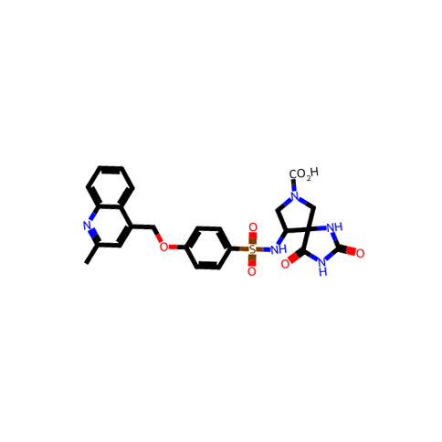 Cc1cc(COc2ccc(S(=O)(=O)NC3CN(C(=O)O)CC34NC(=O)NC4=O)cc2)c2ccccc2n1